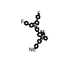 N#Cc1ccc(-c2ccc(N(c3ccccc3)c3ccc(-c4ccc(-n5c6ccc(-c7ccc(F)cc7)cc6c6cc(-c7ccc(F)cc7)ccc65)cc4)c4nsnc34)cc2)cc1